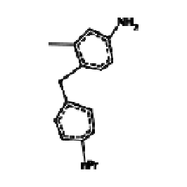 CCCc1ccc(Cc2ccc(N)cc2C)cc1